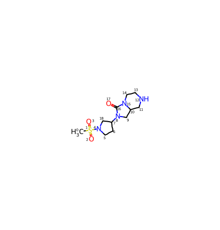 CS(=O)(=O)N1CCC(N2CC3CNCCN3C2=O)C1